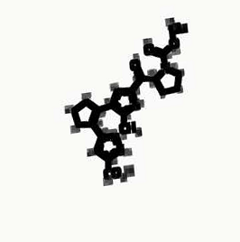 Cc1sc(C(=O)[C@@H]2CCCN2C(=O)OC(C)(C)C)cc1C1=C(c2csc(C(=O)O)c2)CCC1